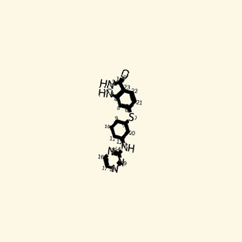 O=c1[nH][nH]c2cc(SC3CCCC(Nc4nccnn4)C3)ccc12